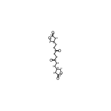 O=C(CCC(=O)CCC1COC(=O)C1)CCC1COC(=O)C1